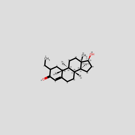 CCC1C[C@H]2C(=CC1=O)CC[C@@H]1[C@@H]2CC[C@]2(C)[C@@H](O)CC[C@@H]12